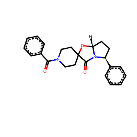 O=C(c1ccccc1)N1CCC2(CC1)O[C@@H]1CC[C@@H](c3ccccc3)N1C2=O